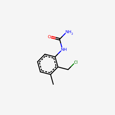 Cc1cccc(NC(N)=O)c1CCl